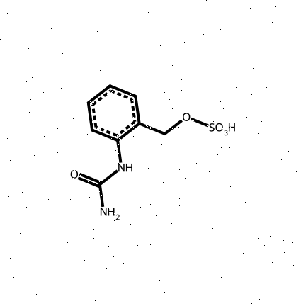 NC(=O)Nc1ccccc1COS(=O)(=O)O